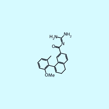 COc1cccc(C)c1C1=CCCc2ccc(C(=O)N=C(N)N)cc21